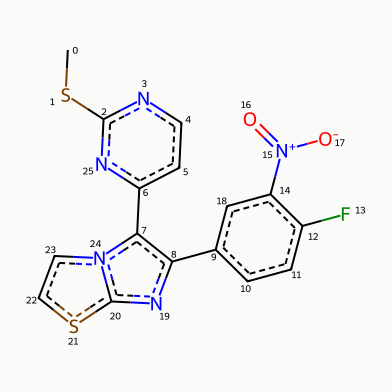 CSc1nccc(-c2c(-c3ccc(F)c([N+](=O)[O-])c3)nc3sccn23)n1